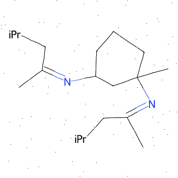 CC(CC(C)C)=NC1CCCC(C)(N=C(C)CC(C)C)C1